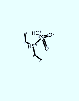 CC[SH](CC)S(=O)(=O)O